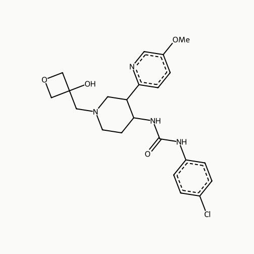 COc1ccc(C2CN(CC3(O)COC3)CCC2NC(=O)Nc2ccc(Cl)cc2)nc1